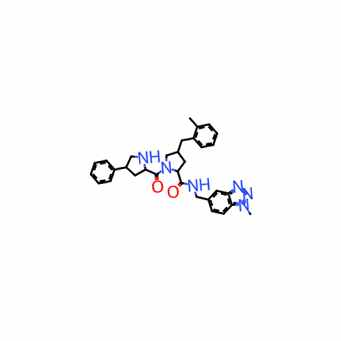 Cc1ccccc1CC1CC(C(=O)NCc2ccc3c(c2)nnn3C)N(C(=O)C2CC(c3ccccc3)CN2)C1